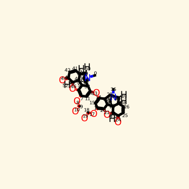 CN1CC[C@@]23C4C5=C(OC=O)C=C(OC6=CC(OC=O)=C7O[C@H]8C(=O)C=C[C@H]9[C@H]%10CC6C7[C@@]89CCN%10C)C4C[C@@H]1[C@@H]2C=CC(=O)[C@@H]3O5